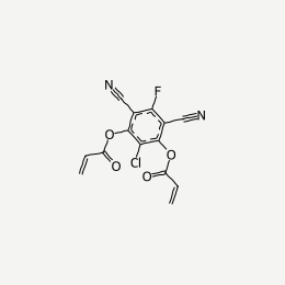 C=CC(=O)Oc1c(Cl)c(OC(=O)C=C)c(C#N)c(F)c1C#N